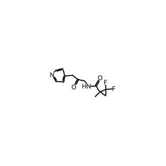 CC1(C(=O)NCC(=O)Cc2ccncc2)CC1(F)F